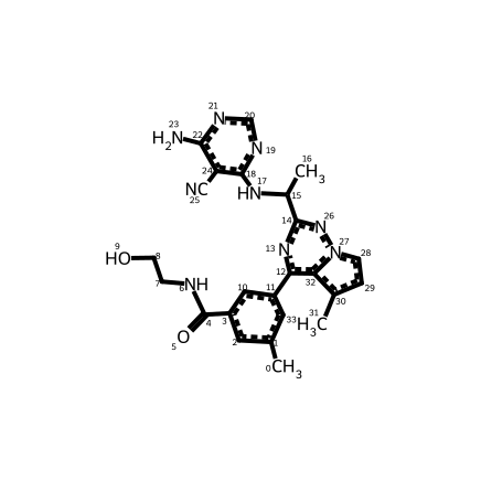 Cc1cc(C(=O)NCCO)cc(-c2nc(C(C)Nc3ncnc(N)c3C#N)nn3ccc(C)c23)c1